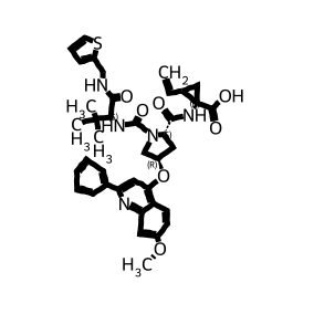 C=CC1C[C@]1(NC(=O)[C@@H]1C[C@@H](Oc2cc(-c3ccccc3)nc3cc(OC)ccc23)CN1C(=O)N[C@H](C(=O)NCc1cccs1)C(C)(C)C)C(=O)O